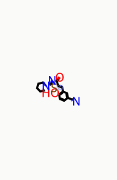 N#Cc1ccc(O)c(/C=C2\SC(N3CCCCC3)=NC2=O)c1